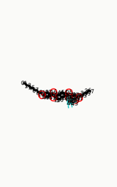 CCCCCCCCCCOc1ccc(C(=O)Oc2ccc3cc(C(=O)O[C@@H]4CC[C@H](OCCCCCC)O[C@H]4C(F)(F)F)ccc3c2)cc1